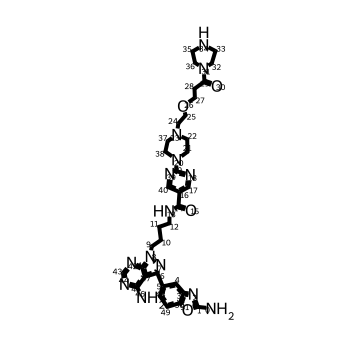 Nc1nc2cc(-c3nn(CCCCNC(=O)c4cnc(N5CCN(CCOCCC(=O)N6CCNCC6)CC5)nc4)c4ncnc(N)c34)ccc2o1